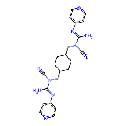 N#CN(CC1CCC(CN(C#N)C(N)=Nc2ccncc2)CC1)C(N)=Nc1ccncc1